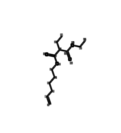 C=CCCCCOC(=O)C(CC)C(=O)OCC